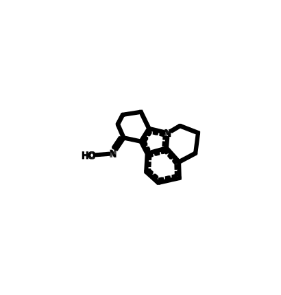 O/N=C1\CCCc2c1c1cccc3c1n2CCC3